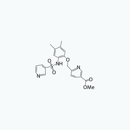 COC(=O)c1ccc(COc2cc(C)c(C)cc2NS(=O)(=O)c2cccnc2)nc1